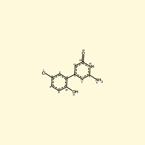 Nc1nc(-c2cc(Cl)ccc2O)cc(=O)[nH]1